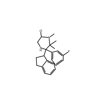 CN1C(Cl)CNC(c2cccc(F)c2)(C2CCc3ccccc32)C1(C)C